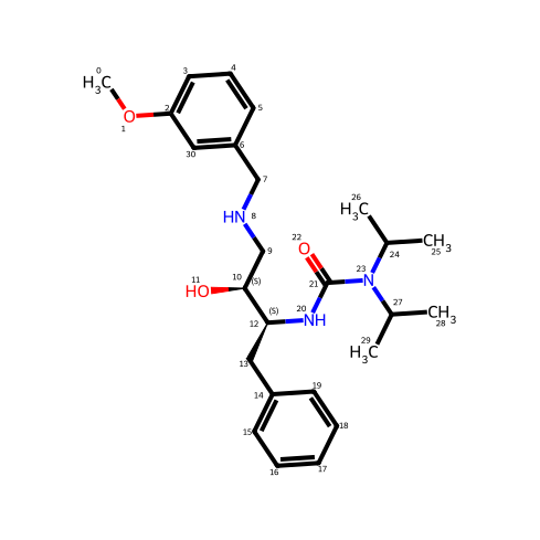 COc1cccc(CNC[C@H](O)[C@H](Cc2ccccc2)NC(=O)N(C(C)C)C(C)C)c1